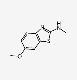 CNc1nc2ccc(OC)cc2s1